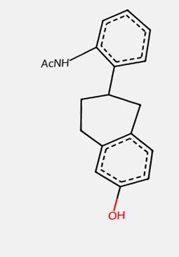 CC(=O)Nc1ccccc1C1CCc2cc(O)ccc2C1